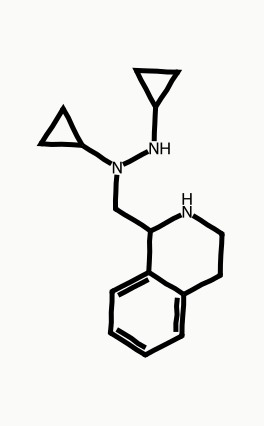 c1ccc2c(c1)CCNC2CN(NC1CC1)C1CC1